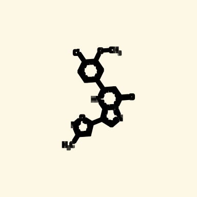 COc1cc(-c2cc(=O)n3ncc(-c4cc(C)no4)c3[nH]2)ccc1Cl